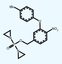 CC(C)(C)c1ccc(Oc2cc(COP(=O)(N3CC3)N3CC3)ccc2[N+](=O)[O-])cc1